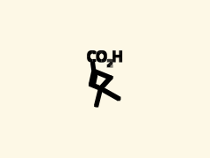 CC1(C)C=C(C(=O)O)C1